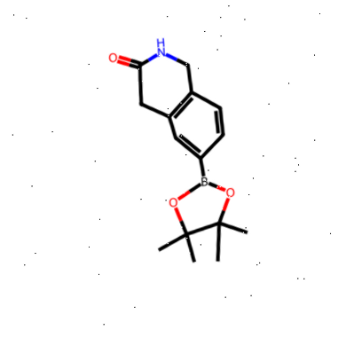 CC1(C)OB(c2ccc3c(c2)CC(=O)NC3)OC1(C)C